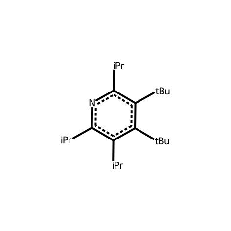 CC(C)c1nc(C(C)C)c(C(C)(C)C)c(C(C)(C)C)c1C(C)C